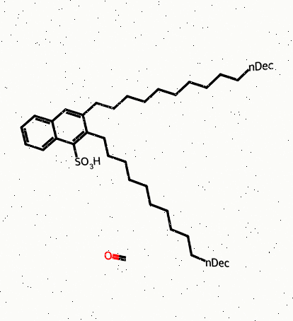 C=O.CCCCCCCCCCCCCCCCCCCCc1cc2ccccc2c(S(=O)(=O)O)c1CCCCCCCCCCCCCCCCCCCC